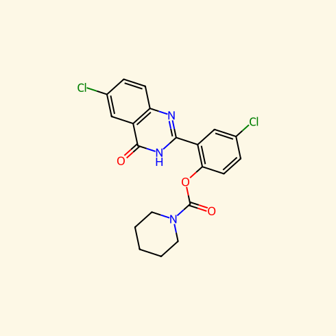 O=C(Oc1ccc(Cl)cc1-c1nc2ccc(Cl)cc2c(=O)[nH]1)N1CCCCC1